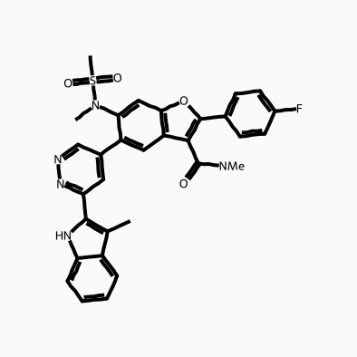 CNC(=O)c1c(-c2ccc(F)cc2)oc2cc(N(C)S(C)(=O)=O)c(-c3cnnc(-c4[nH]c5ccccc5c4C)c3)cc12